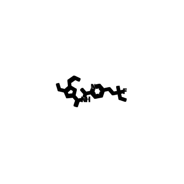 C=C(NC(C)c1ccc(CCC(C)(F)CC)cn1)C1=CC(CC)=C(/C=C\C)C1